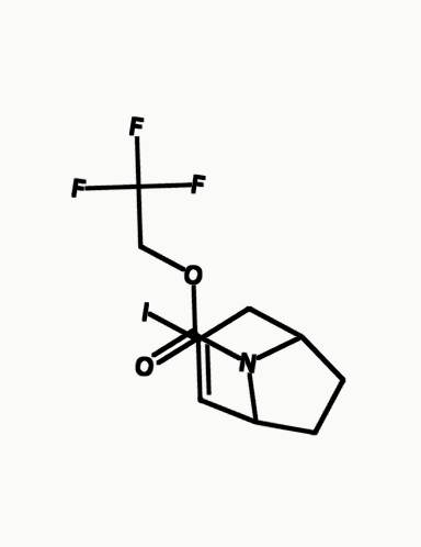 O=C(OCC(F)(F)F)N1C2C=C(I)CC1CC2